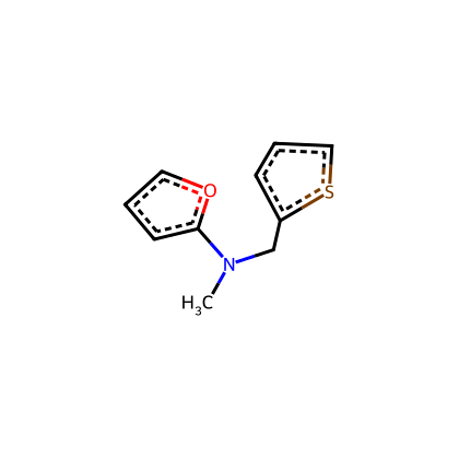 CN(Cc1cccs1)c1ccco1